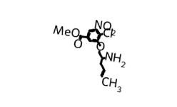 CC=CCC(N)COc1cc(C(=O)OC)cc([N+](=O)[O-])c1Cl